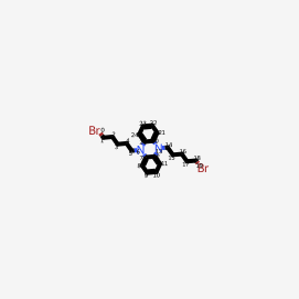 BrCCCCCN1c2ccccc2N(CCCCCBr)c2ccccc21